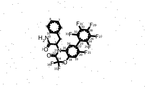 NC(=O)C(Cc1ccccc1)N1C(=O)C(F)(F)Oc2cc(F)c(-c3c(F)c(F)c(F)c(F)c3F)cc21